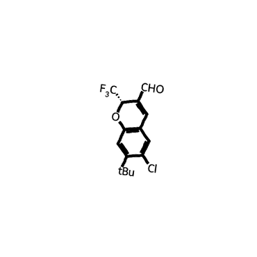 CC(C)(C)c1cc2c(cc1Cl)C=C(C=O)[C@@H](C(F)(F)F)O2